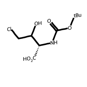 CC(C)(C)OC(=O)N[C@H](C(=O)O)C(O)CCl